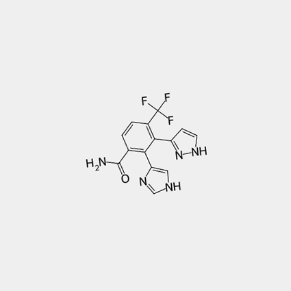 NC(=O)c1ccc(C(F)(F)F)c(-c2cc[nH]n2)c1-c1c[nH]cn1